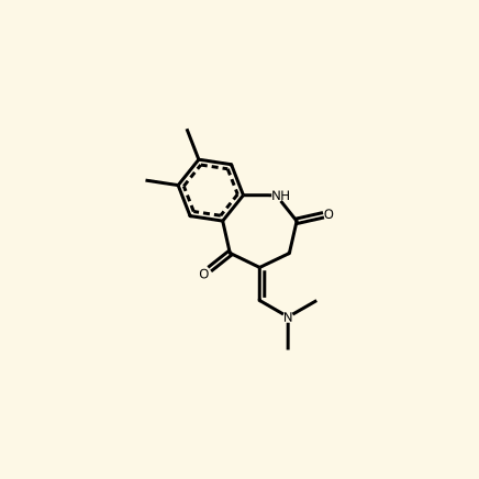 Cc1cc2c(cc1C)C(=O)/C(=C/N(C)C)CC(=O)N2